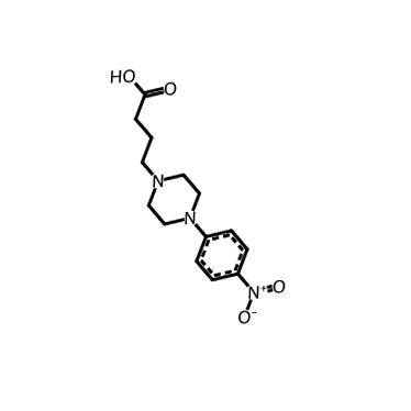 O=C(O)CCCN1CCN(c2ccc([N+](=O)[O-])cc2)CC1